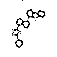 c1ccc(-c2nnc(-c3cccc4c(-c5cccc6c5sc5ccccc56)cccc34)o2)cc1